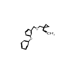 C=CC1(COCc2cccc(Oc3ccccc3)c2)CC1